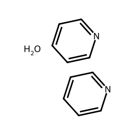 O.c1ccncc1.c1ccncc1